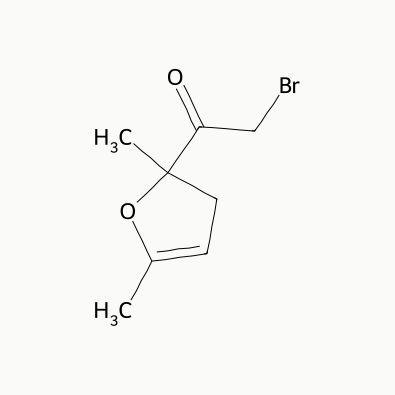 CC1=CCC(C)(C(=O)CBr)O1